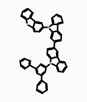 c1ccc(-c2cc(-c3ccccc3)cc(-n3c4ccccc4c4cc(-c5ccc6c7ccccc7n(-c7ccc8sc9ccccc9c8c7)c6c5)ccc43)c2)cc1